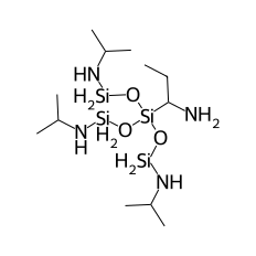 CCC(N)[Si](O[SiH2]NC(C)C)(O[SiH2]NC(C)C)O[SiH2]NC(C)C